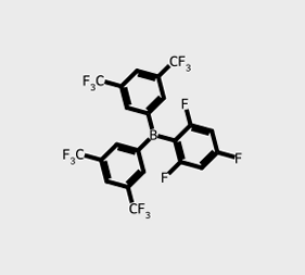 Fc1cc(F)c(B(c2cc(C(F)(F)F)cc(C(F)(F)F)c2)c2cc(C(F)(F)F)cc(C(F)(F)F)c2)c(F)c1